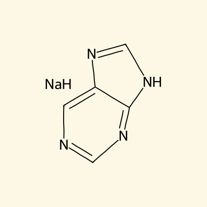 [NaH].c1ncc2nc[nH]c2n1